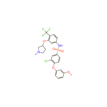 COc1cccc(Oc2ccc(S(=O)(=O)Nc3ccc(C(F)(F)F)c(OC4CCN(C)C4)c3)cc2Cl)c1